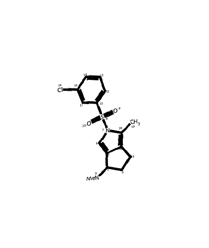 CNC1CCc2c1cn(S(=O)(=O)c1cccc(Cl)c1)c2C